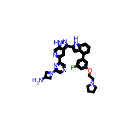 NC1CN(c2cncc(-c3cc4c(-c5cc6c(-c7cc(F)cc(OCCN8CCCC8)c7)cccc6[nH]5)n[nH]c4cn3)n2)C1